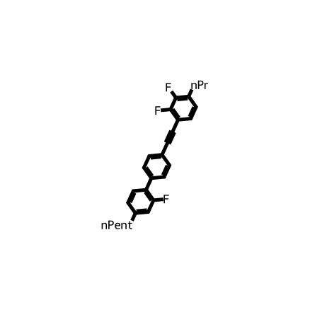 CCCCCc1ccc(-c2ccc(C#Cc3ccc(CCC)c(F)c3F)cc2)c(F)c1